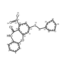 O=C1Nc2ccccc2Oc2cc(SCc3ccccc3)cc([N+](=O)[O-])c21